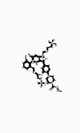 CC(C)(C)OC(=O)N1CCN(c2ccc(-c3nn(COCC[Si](C)(C)C)c4cc(=O)n(-c5c(F)cccc5COCCO[Si](C)(C)C(C)(C)C)nc34)cc2O)CC1